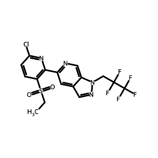 CCS(=O)(=O)c1ccc(Cl)nc1-c1cc2cnn(CC(F)(F)C(F)(F)F)c2cn1